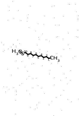 CCCCCCCCCCCSC